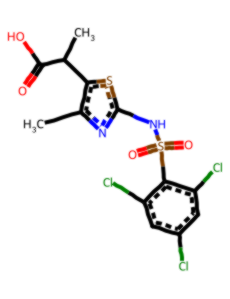 Cc1nc(NS(=O)(=O)c2c(Cl)cc(Cl)cc2Cl)sc1C(C)C(=O)O